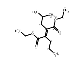 CCCC(C(=O)OCC)=C(CC(C)C)C(=O)OCC